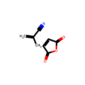 C=C(C)C#N.O=C1C=CC(=O)O1